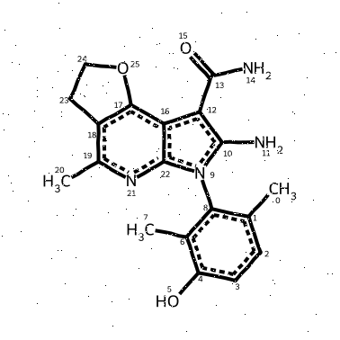 Cc1ccc(O)c(C)c1-n1c(N)c(C(N)=O)c2c3c(c(C)nc21)CCO3